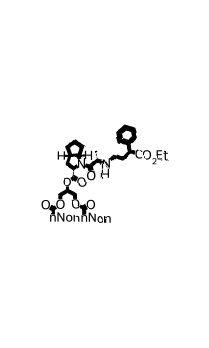 CCCCCCCCCC(=O)OCC(COC(=O)CCCCCCCCC)OC(=O)[C@@H]1C[C@@H]2CCC[C@@H]2N1C(=O)[C@H](C)NCCC(C(=O)OCC)c1ccccc1